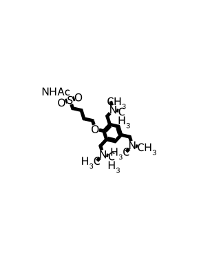 CC(=O)NS(=O)(=O)CCCCOc1c(CN(C)C)cc(CN(C)C)cc1CN(C)C